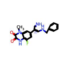 Cn1c(=O)c(=O)[nH]c2c(F)cc(/C(C=N)=C/NCc3ccccc3)cc21